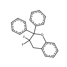 FC1(F)Cc2ccccc2OC1(c1ccccc1)c1ccccc1